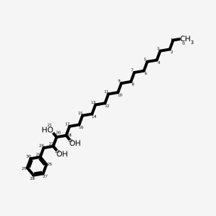 CCCCCCCCCCCCCCCCCCC(O)C(O)C(O)Cc1ccccc1